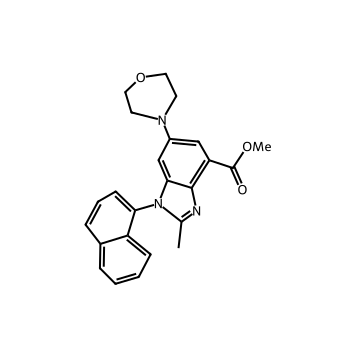 COC(=O)c1cc(N2CCOCC2)cc2c1nc(C)n2-c1cccc2ccccc12